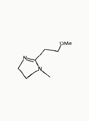 COCCC1=NCCN1C